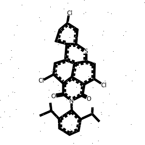 CC(C)c1cccc(C(C)C)c1-n1c(=O)c2c(Cl)cc3sc4cc(Cl)ccc4c4cc(Cl)c(c1=O)c2c34